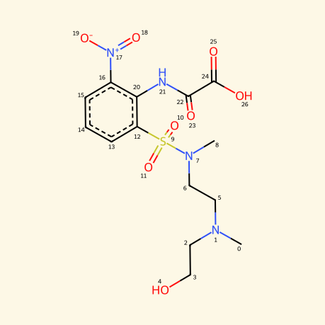 CN(CCO)CCN(C)S(=O)(=O)c1cccc([N+](=O)[O-])c1NC(=O)C(=O)O